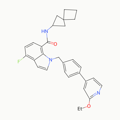 CCOc1cc(-c2ccc(Cn3ccc4c(F)ccc(C(=O)NC5CC6(CCC6)C5)c43)cc2)ccn1